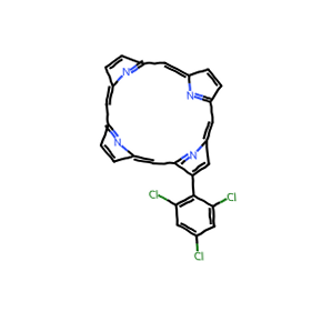 Clc1cc(Cl)c(C2=CC3=CC4=NC(=CC5=NC(=CC6=NC(=CC2=N3)C=C6)C=C5)C=C4)c(Cl)c1